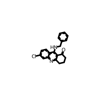 O=C1CCCc2nc3cc(Cl)ccc3c(NCc3ccccc3)c21